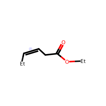 CC/C=C\CC(=O)OCC